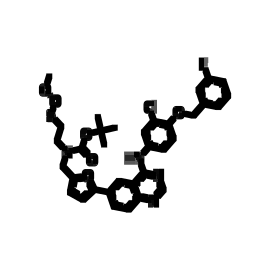 COOSCCN(Cc1ccc(-c2ccc3ncnc(Nc4ccc(OCc5cccc(F)c5)c(Cl)c4)c3c2)o1)C(=O)OC(C)(C)C